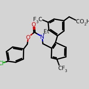 CCN(Cc1cc(C(F)(F)F)ccc1-c1cc(CC(=O)O)cc(C(F)(F)F)c1)C(=O)OCc1ccc(Cl)cc1